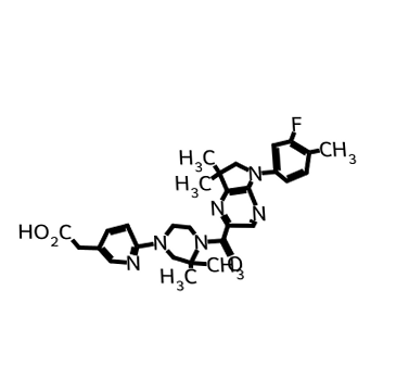 Cc1ccc(N2CC(C)(C)c3nc(C(=O)N4CCN(c5ccc(CC(=O)O)cn5)CC4(C)C)cnc32)cc1F